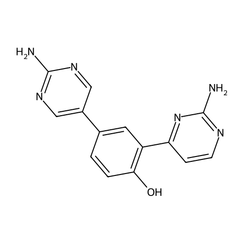 Nc1ncc(-c2ccc(O)c(-c3ccnc(N)n3)c2)cn1